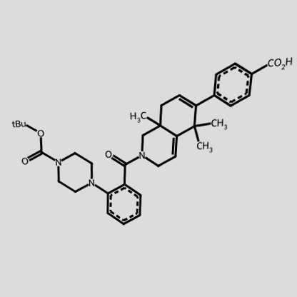 CC(C)(C)OC(=O)N1CCN(c2ccccc2C(=O)N2CC=C3C(C)(CC=C(c4ccc(C(=O)O)cc4)C3(C)C)C2)CC1